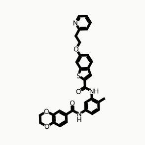 Cc1ccc(NC(=O)c2ccc3c(c2)OCCO3)cc1NC(=O)c1cc2ccc(OCCc3ccccn3)cc2s1